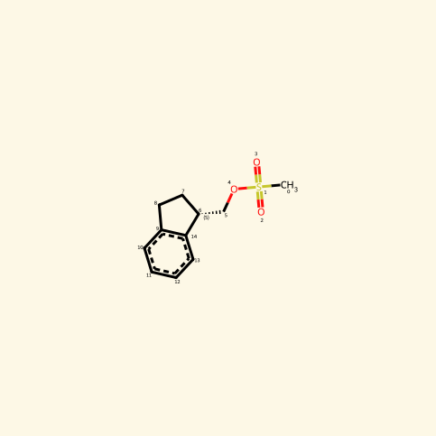 CS(=O)(=O)OC[C@H]1CCc2ccccc21